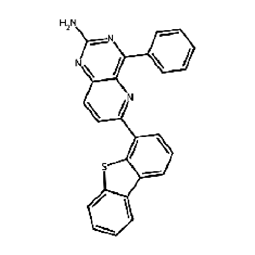 Nc1nc(-c2ccccc2)c2nc(-c3cccc4c3sc3ccccc34)ccc2n1